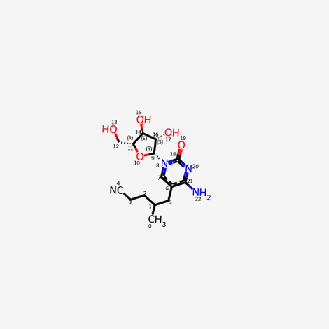 CC(CCC#N)Cc1cn([C@@H]2O[C@H](CO)[C@@H](O)[C@@H]2O)c(=O)nc1N